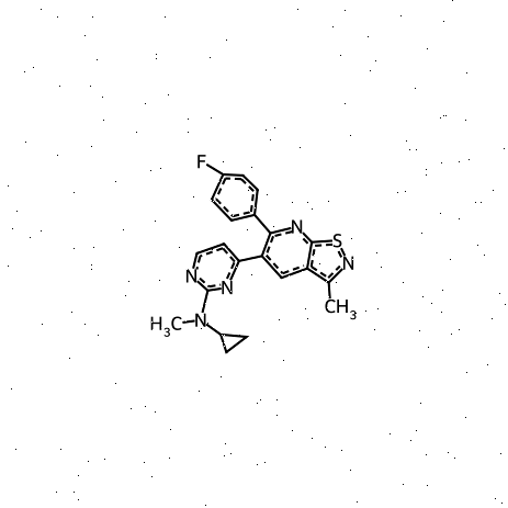 Cc1nsc2nc(-c3ccc(F)cc3)c(-c3ccnc(N(C)C4CC4)n3)cc12